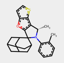 Cc1ccccc1N1[C@@H](C)c2c(oc3ccsc23)C12C1CC3CC(C1)CC2C3